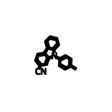 Cc1ccc(-n2c3ccccc3c3ccc(C#N)cc32)cc1